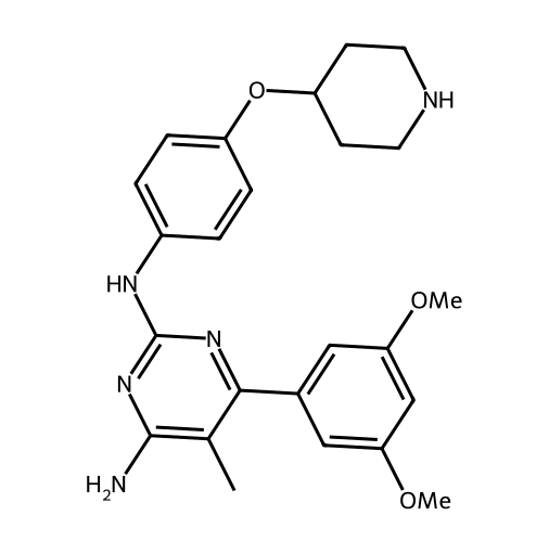 COc1cc(OC)cc(-c2nc(Nc3ccc(OC4CCNCC4)cc3)nc(N)c2C)c1